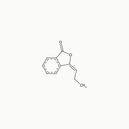 CC/C=C1/OC(=O)c2ccccc21